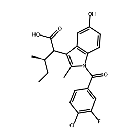 CC[C@@H](C)C(C(=O)O)c1c(C)n(C(=O)c2ccc(Cl)c(F)c2)c2ccc(O)cc12